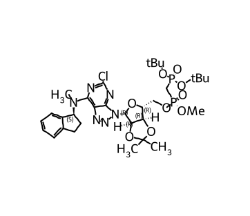 COP(=O)(CP(=O)(OC(C)(C)C)OC(C)(C)C)OC[C@H]1O[C@@H](n2nnc3c(N(C)[C@H]4CCc5ccccc54)nc(Cl)nc32)[C@@H]2OC(C)(C)O[C@@H]21